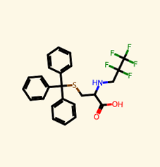 O=C(O)C(CSC(c1ccccc1)(c1ccccc1)c1ccccc1)NCC(F)(F)C(F)(F)F